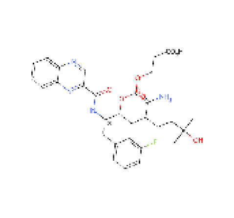 CC(C)(O)CCC(CC(OC(=O)OCCC(=O)O)[C@H](Cc1cccc(F)c1)NC(=O)c1cnc2ccccc2n1)C(N)=O